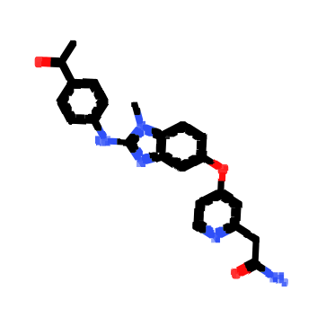 CC(=O)c1ccc(Nc2nc3cc(Oc4ccnc(CC(N)=O)c4)ccc3n2C)cc1